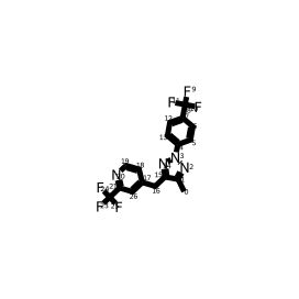 Cc1nn(-c2ccc(C(F)(F)F)cc2)nc1Cc1ccnc(C(F)(F)F)c1